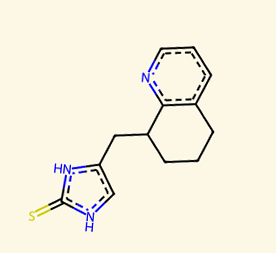 S=c1[nH]cc(CC2CCCc3cccnc32)[nH]1